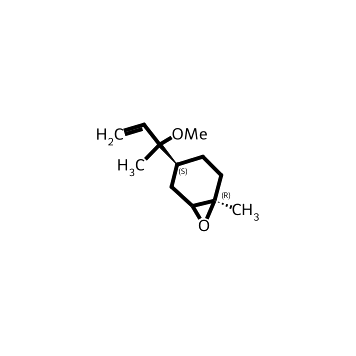 C=CC(C)(OC)[C@H]1CC[C@@]2(C)OC2C1